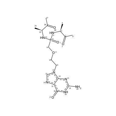 CC(=O)[C@H](C)NP(=O)(COCCn1cnc2c(=O)[nH]c(N)nc21)N[C@@H](C)C(C)=O